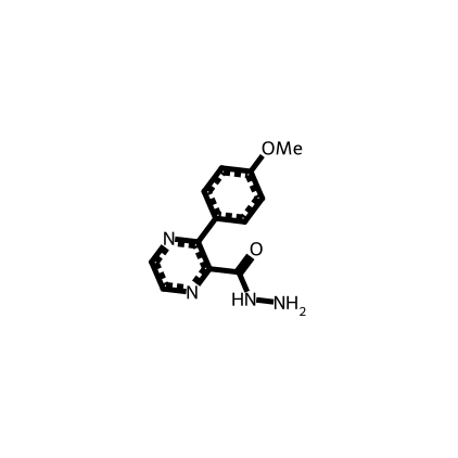 COc1ccc(-c2nccnc2C(=O)NN)cc1